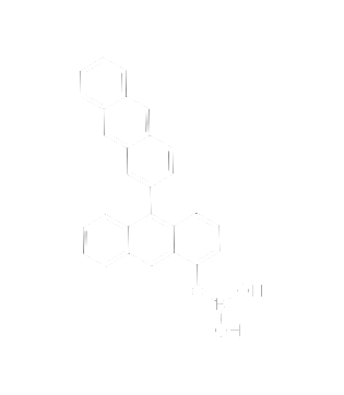 OB(O)Oc1cccc2c(-c3ccc4cc5ccccc5cc4c3)c3ccccc3cc12